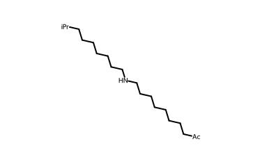 CC(=O)CCCCCCCCNCCCCCCCC(C)C